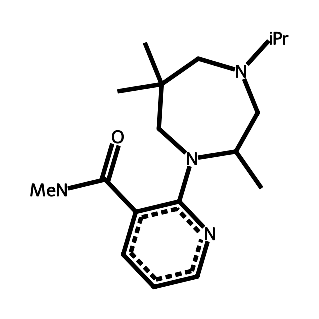 CNC(=O)c1cccnc1N1CC(C)(C)CN(C(C)C)CC1C